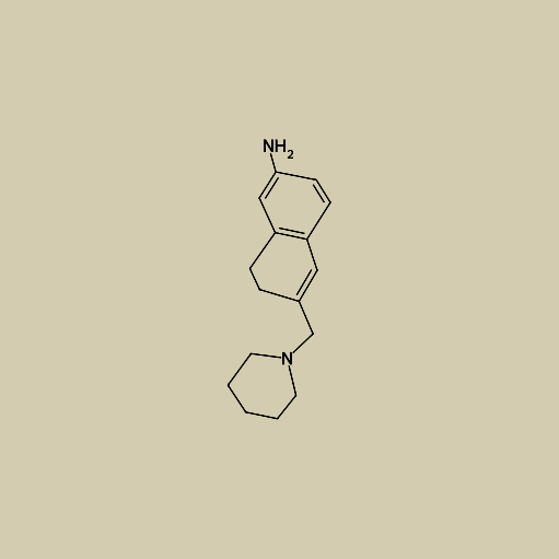 Nc1ccc2c(c1)CCC(CN1CCCCC1)=C2